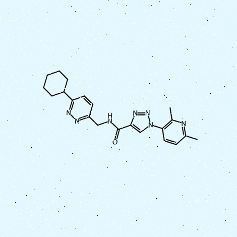 Cc1ccc(-n2cc(C(=O)NCc3ccc(C4CCCCC4)nn3)nn2)c(C)n1